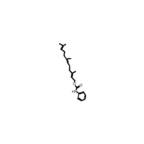 CC(C)=CCC/C(C)=C/CC/C(C)=C/COC(=O)Nc1ccccc1